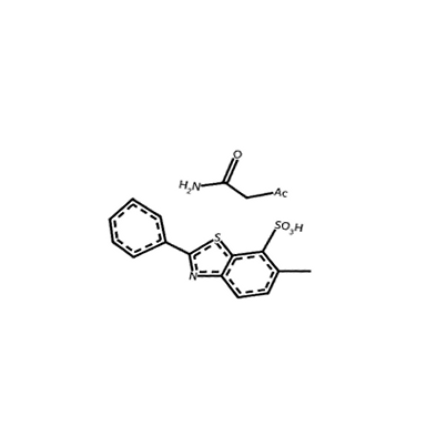 CC(=O)CC(N)=O.Cc1ccc2nc(-c3ccccc3)sc2c1S(=O)(=O)O